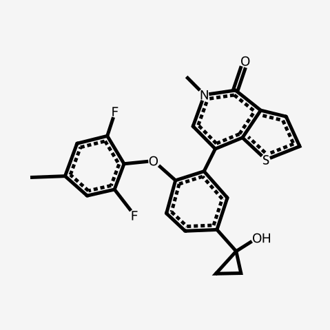 Cc1cc(F)c(Oc2ccc(C3(O)CC3)cc2-c2cn(C)c(=O)c3ccsc23)c(F)c1